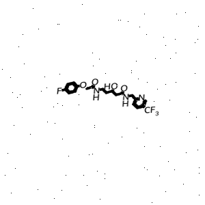 O=C(COc1ccc(F)cc1)NCCC(O)CC(=O)NCc1ccc(C(F)(F)F)cn1